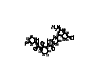 Nc1cc(N2CCN(C(=O)N[C@H]3CCCCN(C(=O)Nc4cccc(F)c4)C3=O)CC2)c2ccc(Cl)cc2n1